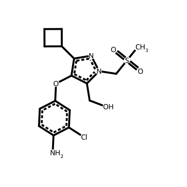 CS(=O)(=O)Cn1nc(C2CCC2)c(Oc2ccc(N)c(Cl)c2)c1CO